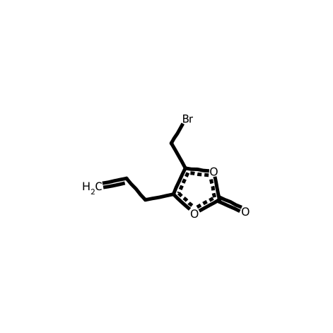 C=CCc1oc(=O)oc1CBr